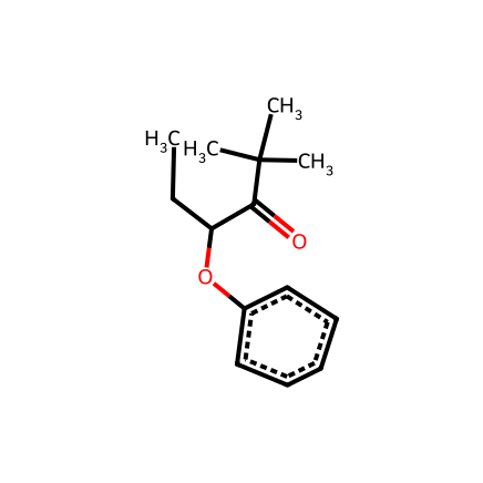 CCC(Oc1ccccc1)C(=O)C(C)(C)C